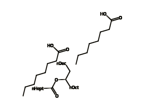 CCCCCCCC(=O)O.CCCCCCCC(=O)O.CCCCCCCCCCCC(CCCCCCCC)OC(=O)CCCCCCC